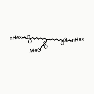 CCCCCC/C=C/COC(=O)CCCCCCCC(CCCCCCCC(=O)OC/C=C/CCCCCC)COC(=O)CCOC